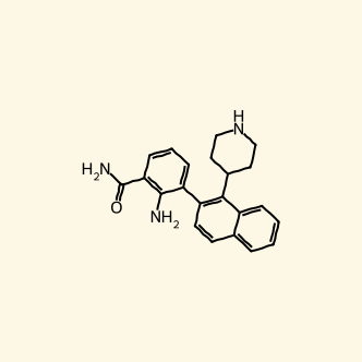 NC(=O)c1cccc(-c2ccc3ccccc3c2C2CCNCC2)c1N